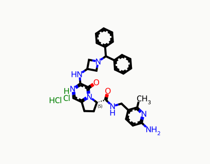 Cc1nc(N)ccc1CNC(=O)[C@@H]1CCc2cnc(NC3CN(C(c4ccccc4)c4ccccc4)C3)c(=O)n21.Cl.Cl